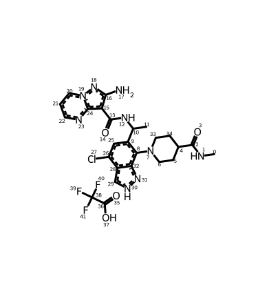 CNC(=O)C1CCN(c2c(C(C)NC(=O)c3c(N)nn4cccnc34)cc(Cl)c3c[nH]nc23)CC1.O=C(O)C(F)(F)F